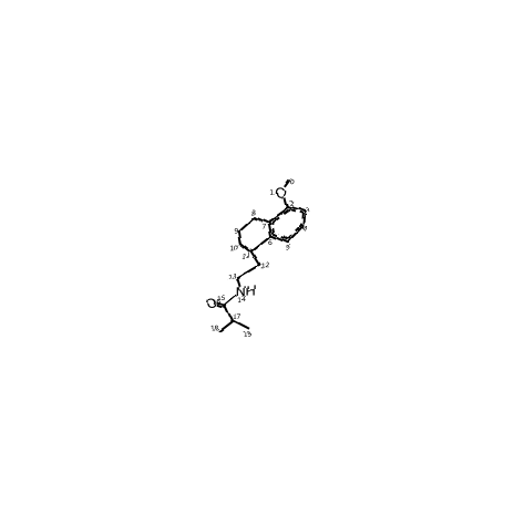 COc1cccc2c1CCCC2CCNC(=O)C(C)C